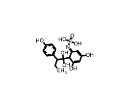 CCC(c1ccc(O)cc1)C(O)(O)C1C(O)=CC(O)=CC1=NP(=O)(O)O